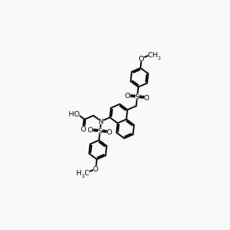 COc1ccc(S(=O)(=O)Cc2ccc(N(CC(=O)O)S(=O)(=O)c3ccc(OC)cc3)c3ccccc23)cc1